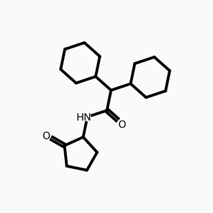 O=C1CCCC1NC(=O)C(C1CCCCC1)C1CCCCC1